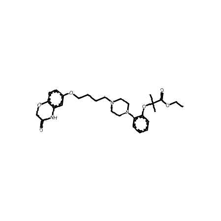 CCOC(=O)C(C)(C)Oc1ccccc1N1CCN(CCCCOc2ccc3c(c2)NC(=O)CO3)CC1